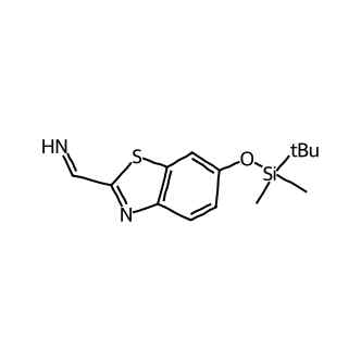 CC(C)(C)[Si](C)(C)Oc1ccc2nc(C=N)sc2c1